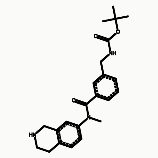 CN(C(=O)c1cccc(CNC(=O)OC(C)(C)C)c1)c1ccc2c(c1)CNCC2